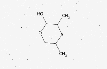 CC1COC(O)C(C)S1